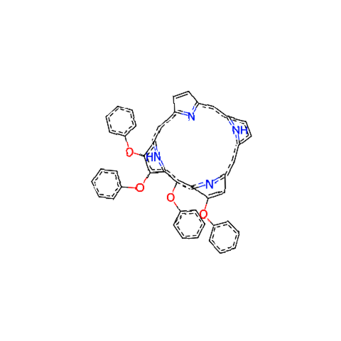 C1=Cc2cc3[nH]c(c(Oc4ccccc4)c4nc(cc5ccc(cc1n2)[nH]5)C=C4Oc1ccccc1)c(Oc1ccccc1)c3Oc1ccccc1